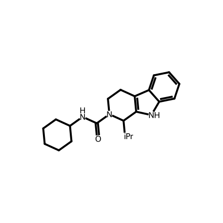 CC(C)C1c2[nH]c3ccccc3c2CCN1C(=O)NC1CCCCC1